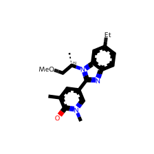 CCc1ccc2nc(-c3cc(C)c(=O)n(C)c3)n([C@@H](C)COC)c2c1